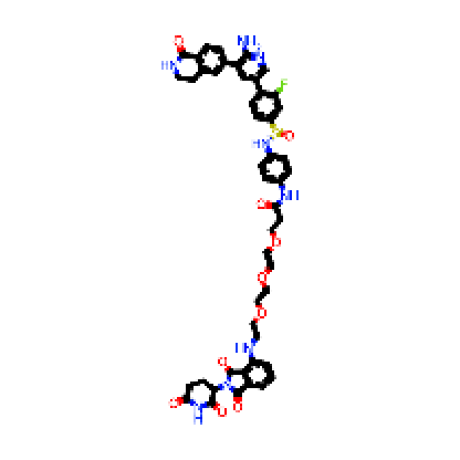 Nc1ncc(-c2ccc([S+]([O-])Nc3ccc(NC(=O)CCOCCOCCOCCNc4cccc5c4C(=O)N(C4CCC(=O)NC4=O)C5=O)cc3)cc2F)cc1-c1ccc2c(c1)CCNC2=O